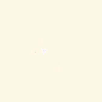 Cc1c(C)c(C)c(C(=O)C2CCN(S(=O)(=O)c3ccc(F)cc3F)CC2)c(C)c1C